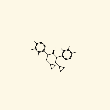 O=C(C(CC1CC1)c1ccc(O)c(I)c1O)C(CC1CC1)c1ccc(O)c(I)c1O